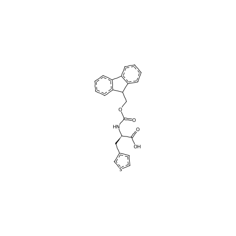 O=C(N[C@H](Cc1ccsc1)C(=O)O)OCC1c2ccccc2-c2ccccc21